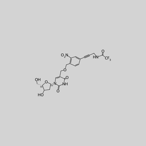 O=C(NCC#Cc1ccc(COCc2cn([C@@H]3CC(O)[C@H](CO)O3)c(=O)[nH]c2=O)c([N+](=O)[O-])c1)C(F)(F)F